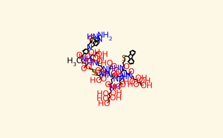 C#CCN(Cc1ccc2nc(N)[nH]c(=O)c2c1)c1ccc(C(=O)N[C@H](C)CCC(=O)OCCSSCC(NC(=O)C(CCC(=O)NC[C@H](O)[C@@H](O)[C@H](O)C(O)CO)NC(=O)[C@H](CCC(=O)O)NC(=O)C(CCC(=O)NC[C@H](O)[C@@H](O)[C@H](O)C(O)CO)NC(=O)[C@H](CCC(=O)O)NC(=O)C(CCC(=O)NC[C@H](O)[C@@H](O)[C@H](O)C(O)CO)NC(=O)CCSCC2c3ccccc3-c3ccccc32)C(=O)O)cc1